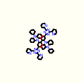 c1ccc(N2c3ccccc3N(c3cc(-c4nc(-c5ccccn5)nc(-c5ccccn5)n4)ccc3-c3ccc(-c4nc(-c5ccccn5)nc(-c5ccccn5)n4)cc3N3c4ccccc4N(c4ccccc4)c4ccccc43)c3ccccc32)cc1